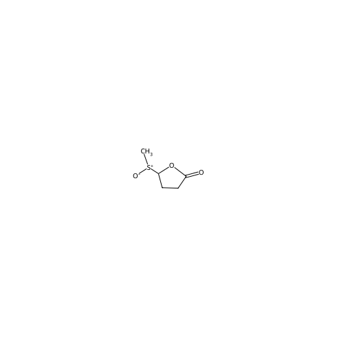 C[S+]([O-])C1CCC(=O)O1